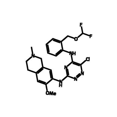 COc1cc2c(cc1Nc1nnc(Cl)c(Nc3ccccc3COC(F)F)n1)CN(C)CC2